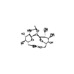 CC(=O)N[C@@H]1[C@@H](O[C@@H]2O[C@H](CO)[C@H](O)[C@H](O)[C@H]2O)O[C@H](CBr)[C@@H](O)[C@@H]1O